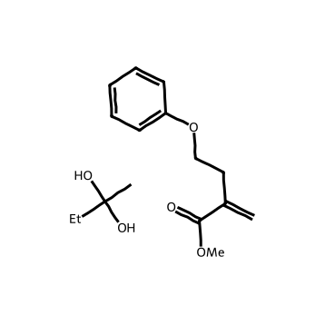 C=C(CCOc1ccccc1)C(=O)OC.[CH2]CC(C)(O)O